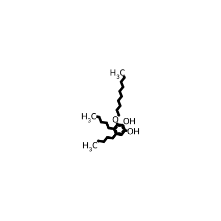 CCCCCCCCCCOc1c(O)c(O)cc(CCCCC)c1CCCCC